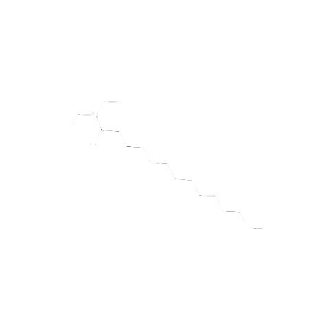 CCN(CC)C(=O)CCCCCCCCCCCOC